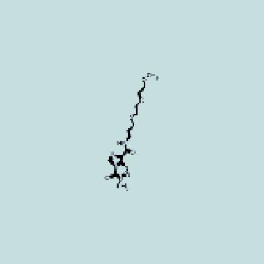 COCCOCCSCCCNC(=O)c1ncn2c(=O)n(C)nnc12